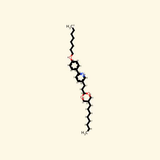 CCCCCCCCOc1ccc(-c2ccc(CCC3OCC(CCCCCCCC)CO3)cn2)cc1